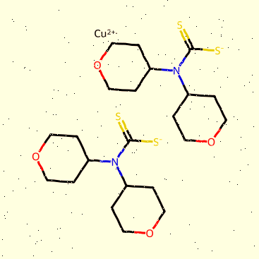 S=C([S-])N(C1CCOCC1)C1CCOCC1.S=C([S-])N(C1CCOCC1)C1CCOCC1.[Cu+2]